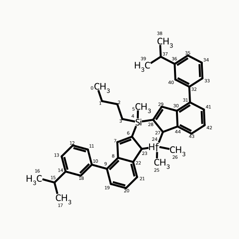 CCCC[Si]1(C)C2=Cc3c(-c4cccc(C(C)C)c4)cccc3[CH]2[Hf]([CH3])([CH3])[CH]2C1=Cc1c(-c3cccc(C(C)C)c3)cccc12